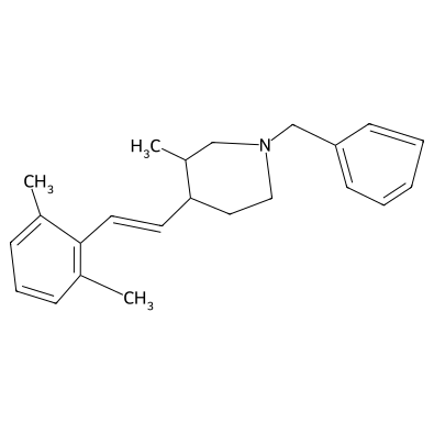 Cc1cccc(C)c1C=CC1CCN(Cc2ccccc2)CC1C